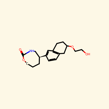 O=C1NC[C@@H](c2ccc3c(c2)CCC(OCCO)C3)CCCO1